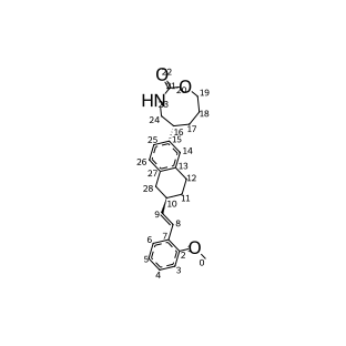 COc1ccccc1/C=C/[C@@H]1CCc2cc([C@H]3CCCOC(=O)NC3)ccc2C1